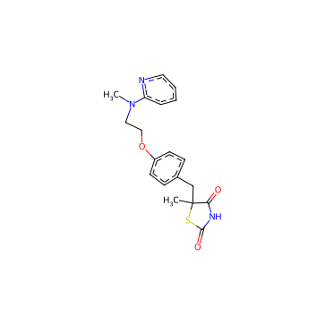 CN(CCOc1ccc(CC2(C)SC(=O)NC2=O)cc1)c1ccccn1